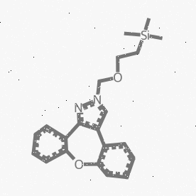 C[Si](C)(C)CCOCn1cc2c(n1)-c1ccccc1Oc1ccccc1-2